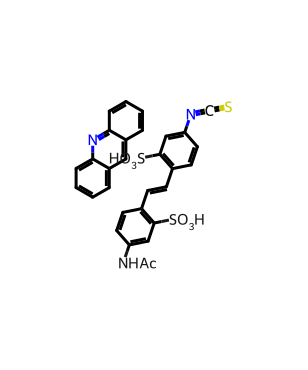 CC(=O)Nc1ccc(C=Cc2ccc(N=C=S)cc2S(=O)(=O)O)c(S(=O)(=O)O)c1.c1ccc2nc3ccccc3cc2c1